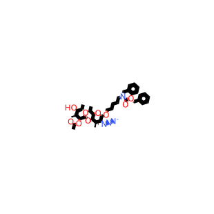 CCC1O[C@H](OCCCCCN(Cc2ccccc2)C(=O)OCc2ccccc2)C(N=[N+]=[N-])[C@@H](C)[C@@H]1O[C@@H]1OC(C)[C@@H](O)[C@H](C)C1OC(C)=O